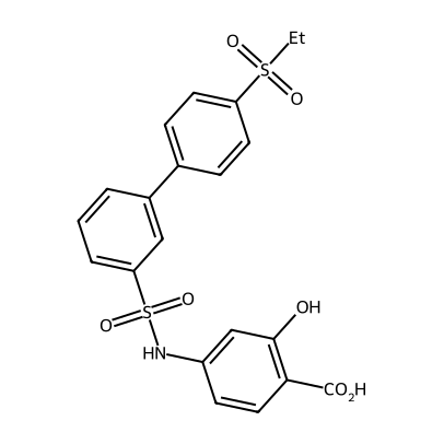 CCS(=O)(=O)c1ccc(-c2cccc(S(=O)(=O)Nc3ccc(C(=O)O)c(O)c3)c2)cc1